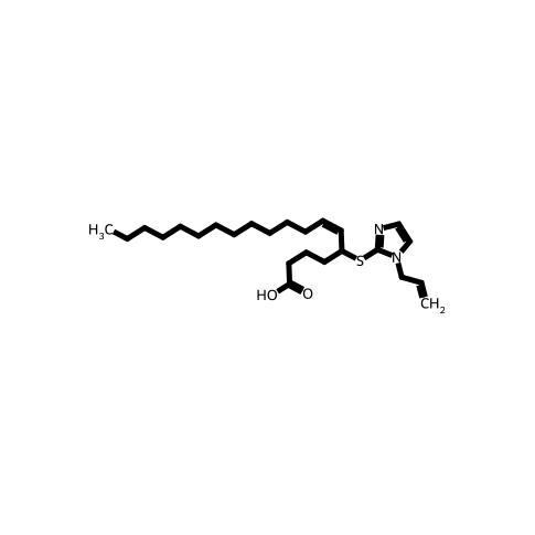 C=CCn1ccnc1SC(/C=C\CCCCCCCCCCCC)CCCC(=O)O